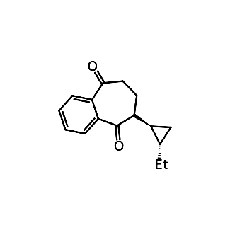 CC[C@H]1C[C@@H]1C1CCC(=O)c2ccccc2C1=O